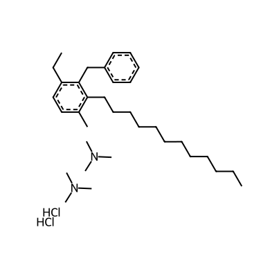 CCCCCCCCCCCCc1c(C)ccc(CC)c1Cc1ccccc1.CN(C)C.CN(C)C.Cl.Cl